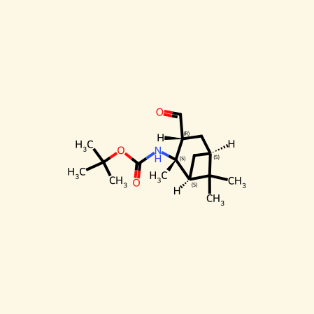 CC(C)(C)OC(=O)N[C@]1(C)[C@H](C=O)C[C@@H]2C[C@H]1C2(C)C